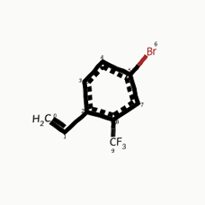 C=Cc1ccc(Br)cc1C(F)(F)F